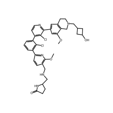 COc1cc(-c2nccc(-c3cccc(-c4ccc(CNCC5CCC(=O)N5)c(OC)n4)c3Cl)c2Cl)cc2c1CN(CC1CC(O)C1)CC2